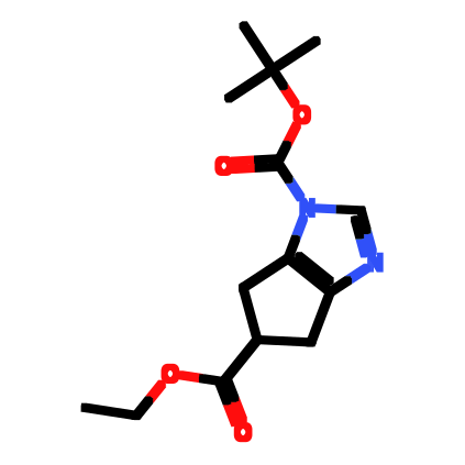 CCOC(=O)C1Cc2ncn(C(=O)OC(C)(C)C)c2C1